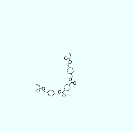 C=CC(=O)OCC1CCC(COC(=O)C2CCC(C(=O)OCC3CCC(COC(=O)C=C)CC3)CC2)CC1